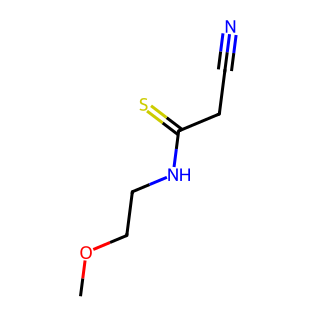 COCCNC(=S)CC#N